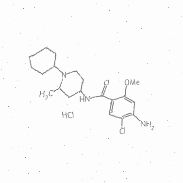 COc1cc(N)c(Cl)cc1C(=O)NC1CCN(C2CCCCC2)C(C)C1.Cl